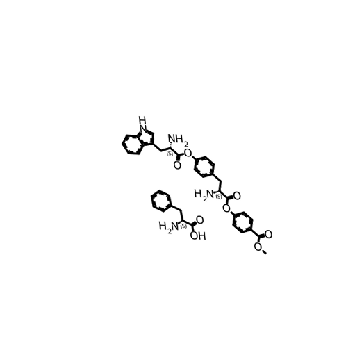 COC(=O)c1ccc(OC(=O)[C@@H](N)Cc2ccc(OC(=O)[C@@H](N)Cc3c[nH]c4ccccc34)cc2)cc1.N[C@@H](Cc1ccccc1)C(=O)O